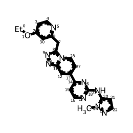 CCOc1ccnc(Cc2nnc3cc(-c4ccnc(Nc5ccnn5C)n4)ccn23)c1